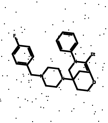 CCC1=C2CC(N3CCN(Cc4ccc(F)cc4)CC3)(CCO2)CN1c1ccccc1